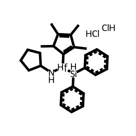 CC1=C(C)C(C)[C]([Hf]([NH]C2CCCC2)[SiH](c2ccccc2)c2ccccc2)=C1C.Cl.Cl